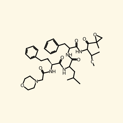 CCC(C)C(NC(=O)C(Cc1ccccc1)NC(=O)C(CC(C)C)NC(=O)[C@H](CCc1ccccc1)NC(=O)CN1CCOCC1)C(=O)C1(C)CO1